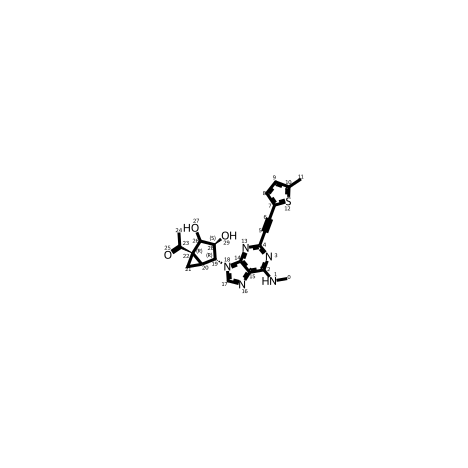 CNc1nc(C#Cc2ccc(C)s2)nc2c1ncn2[C@@H]1C2C[C@]2(C(C)=O)C(O)[C@H]1O